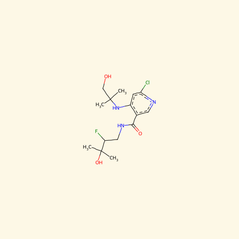 CC(C)(CO)Nc1cc(Cl)ncc1C(=O)NCC(F)C(C)(C)O